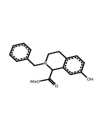 COC(=O)C1c2cc(O)ccc2CCN1Cc1ccccc1